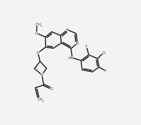 C=CC(=O)N1CC(Oc2cc3c(Nc4ccc(F)c(Cl)c4F)ncnc3cc2OC)C1